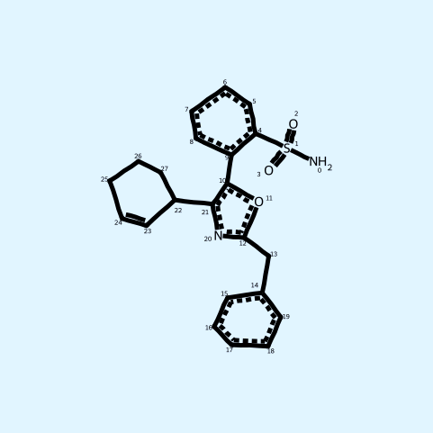 NS(=O)(=O)c1ccccc1-c1oc(Cc2ccccc2)nc1C1C=CCCC1